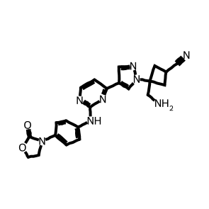 N#CC1CC(CN)(n2cc(-c3ccnc(Nc4ccc(N5CCOC5=O)cc4)n3)cn2)C1